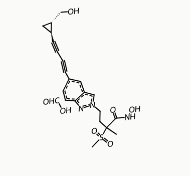 CC(CCn1cc2cc(C#CC#C[C@H]3C[C@@H]3CO)ccc2n1)(C(=O)NO)S(C)(=O)=O.O=CO